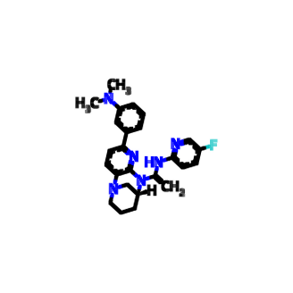 C=C(Nc1ccc(F)cn1)N1c2nc(-c3cccc(N(C)C)c3)ccc2N2CCC[C@@H]1C2